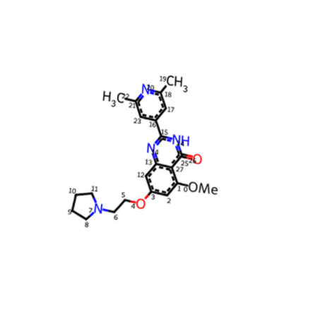 COc1cc(OCCN2CCCC2)cc2nc(-c3cc(C)nc(C)c3)[nH]c(=O)c12